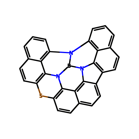 c1cc2c3c4c(ccc3c1)Sc1ccc3ccc5c6ccc7cccc8c7c6n6c5c3c1N4B6N28